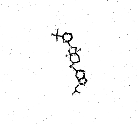 FC(F)Cn1ncc2ncc(N[C@@H]3CC[C@@H]4CN(c5cccc(C(F)(F)F)n5)C[C@@H]4C3)nc21